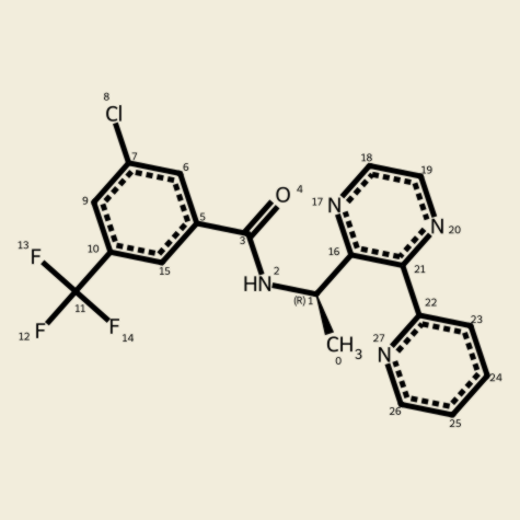 C[C@@H](NC(=O)c1cc(Cl)cc(C(F)(F)F)c1)c1nccnc1-c1ccccn1